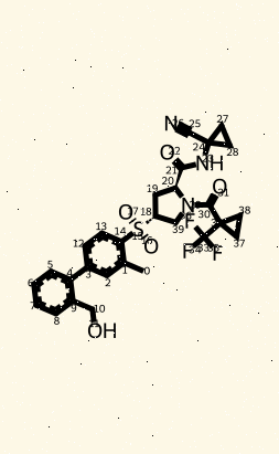 Cc1cc(-c2ccccc2CO)ccc1S(=O)(=O)[C@@H]1C[C@@H](C(=O)NC2(C#N)CC2)N(C(=O)C2(C(F)(F)F)CC2)C1